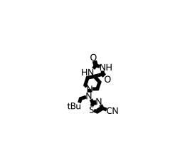 CC(C)(C)CN(c1nc(C#N)cs1)N1CCC2(CC1)NC(=O)NC2=O